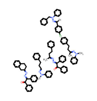 CC(CCc1ccccc1)=NN(C)c1ccccc1.CC(CCc1ccccc1)=NN=C(C(=O)c1ccccc1)c1ccccc1.CCC(=NN(Cc1ccccc1)c1ccccc1)c1ccc(Cl)cc1.CN(N=CCCc1ccccc1)c1ccccc1.O=C(C(=NN=C1CCc2ccccc2C1)c1ccccc1)c1ccccc1